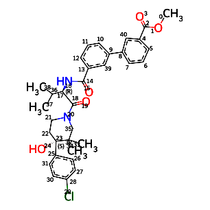 COC(=O)c1cccc(-c2cccc(C(=O)N[C@@H](C(=O)N3CC[C@](O)(c4ccc(Cl)cc4)C(C)(C)C3)C(C)C)c2)c1